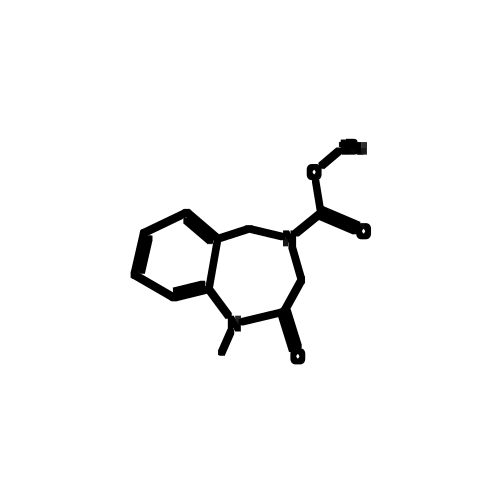 CN1C(=O)CN(C(=O)OC(C)(C)C)Cc2ccccc21